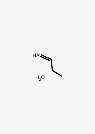 CC[CH]=[AlH].O